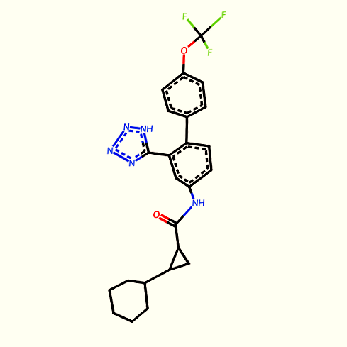 O=C(Nc1ccc(-c2ccc(OC(F)(F)F)cc2)c(-c2nnn[nH]2)c1)C1CC1C1CCCCC1